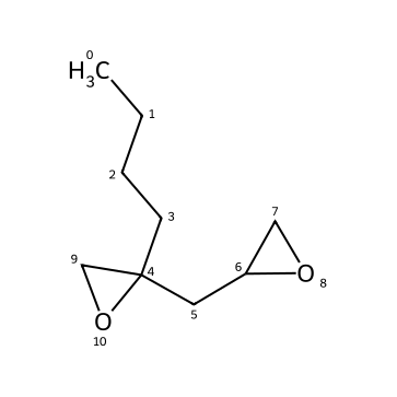 CCCCC1(CC2CO2)CO1